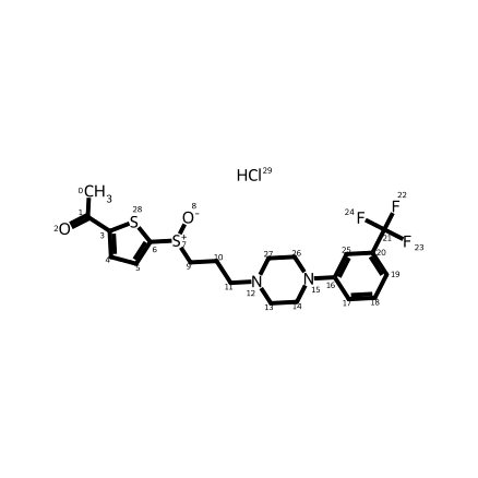 CC(=O)c1ccc([S+]([O-])CCCN2CCN(c3cccc(C(F)(F)F)c3)CC2)s1.Cl